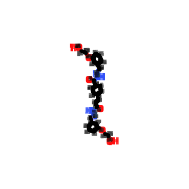 O=C(C=Cc1ccc(C(=O)NN=Cc2cccc(OCCO)c2)cc1)N/N=C/c1cccc(OCCO)c1